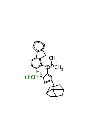 C[C](C)=[Zr+2]([C]1=CC(C23CC4CC(CC(C4)C2)C3)=CC1C)[c]1cccc2c1Cc1ccccc1-2.[Cl-].[Cl-]